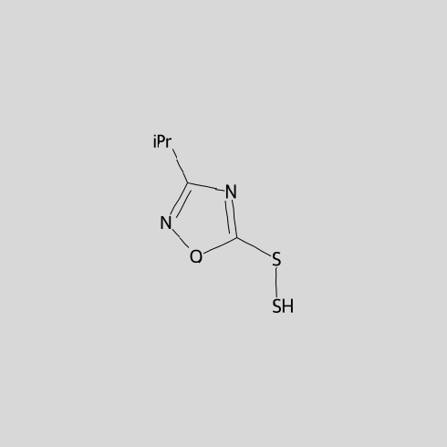 CC(C)c1noc(SS)n1